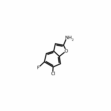 Nc1cc2cc(F)c(Cl)cc2o1